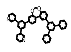 c1ccc(-c2cc(-c3ccccc3)cc(-c3ccc4c(c3)-c3ccc(-c5cc(-c6cccnc6)cc(-c6cccnc6)c5)cc3OCO4)c2)cc1